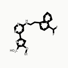 CCOc1cc(-c2cc(NCCc3ccc(C(F)F)c4ccccc34)ncn2)sc1C(=O)O